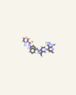 CNc1nc(C)cc(N2CCc3c(c(C)nn3CC34CCCC(C3)C(NC(=O)[C@@H]3COCCN3)CC4)C2)c1C=N